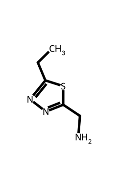 CCc1nnc(CN)s1